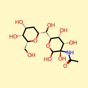 CC(=O)N[C@]1(O)C(O)O[C@H](C(O)[C@H]2C[C@@H](O)[C@@H](O)[C@@H](CO)O2)[C@H](O)[C@@H]1O